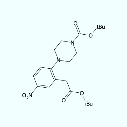 CC[C@@H](C)OC(=O)Cc1cc([N+](=O)[O-])ccc1N1CCN(C(=O)OC(C)(C)C)CC1